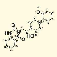 COc1ccccc1N1CCN(CCn2c(=O)[nH]c3ccccc3c2=O)CC1.Cl